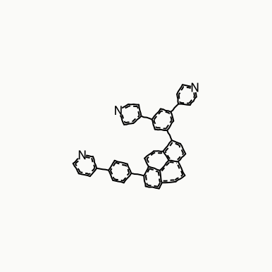 c1cncc(-c2ccc(-c3ccc4ccc5ccc(-c6cc(-c7ccncc7)cc(-c7ccncc7)c6)c6ccc3c4c56)cc2)c1